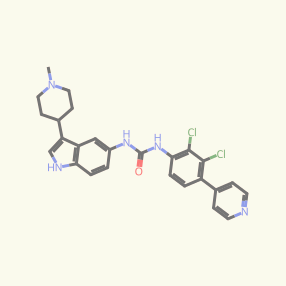 CN1CCC(c2c[nH]c3ccc(NC(=O)Nc4ccc(-c5ccncc5)c(Cl)c4Cl)cc23)CC1